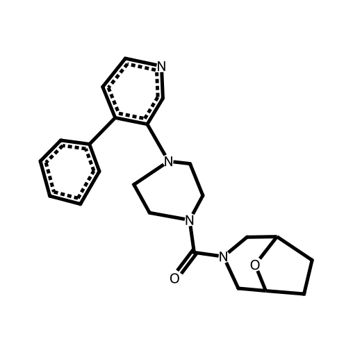 O=C(N1CCN(c2cnccc2-c2ccccc2)CC1)N1CC2CCC(C1)O2